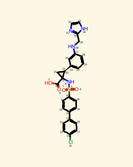 O=C(O)C1(NS(=O)(=O)c2ccc(-c3ccc(Cl)cc3)cc2)C[C@H]1c1cccc(NCc2ncc[nH]2)c1